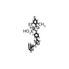 CCc1cc(F)cc(C)c1C(=O)NC(Cc1ccc(-c2coc(CNc3ncc[nH]3)n2)cc1)C(=O)O